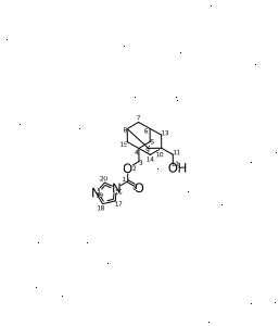 O=C(OCC12CC3CC(CC(CO)(C3)C1)C2)n1ccnc1